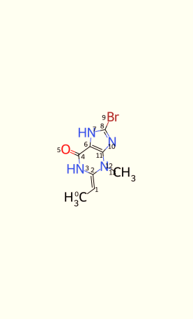 CC=C1NC(=O)c2[nH]c(Br)nc2N1C